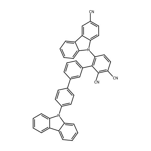 N#Cc1ccc2c(c1)c1ccccc1n2-c1ccc(C#N)c(C#N)c1-c1cccc(-c2ccc(-n3c4ccccc4c4ccccc43)cc2)c1